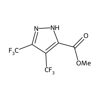 COC(=O)c1[nH]nc(C(F)(F)F)c1C(F)(F)F